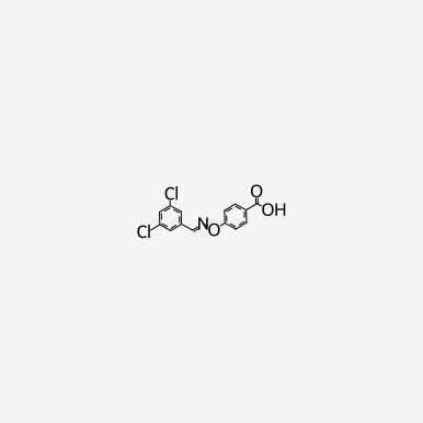 O=C(O)c1ccc(O/N=C/c2cc(Cl)cc(Cl)c2)cc1